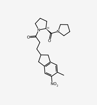 Cc1cc2c(cc1[N+](=O)[O-])CC(CCC(=O)N1CCC[C@H]1C(=O)N1CCCC1)C2